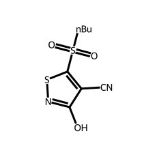 CCCCS(=O)(=O)c1snc(O)c1C#N